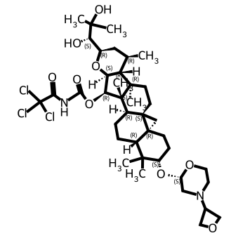 C[C@@H]1C[C@H]([C@H](O)C(C)(C)O)O[C@H]2[C@H]1[C@@]1(C)CC[C@@]34C[C@@]35CC[C@H](O[C@H]3CN(C6COC6)CCO3)C(C)(C)[C@@H]5CC[C@H]4[C@]1(C)[C@H]2OC(=O)NC(=O)C(Cl)(Cl)Cl